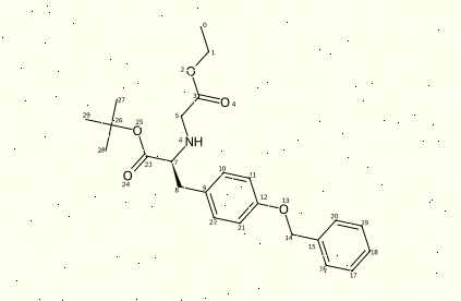 CCOC(=O)CN[C@@H](Cc1ccc(OCc2ccccc2)cc1)C(=O)OC(C)(C)C